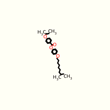 CCC(C)CCCCCCCOc1ccc(OC(=O)c2ccc(O[C@H](C)CC)cc2)cc1